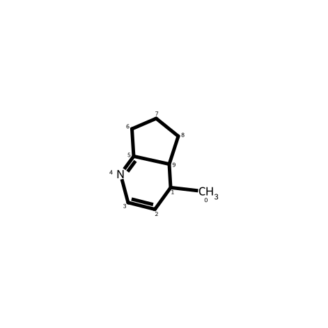 CC1C=CN=C2CCCC21